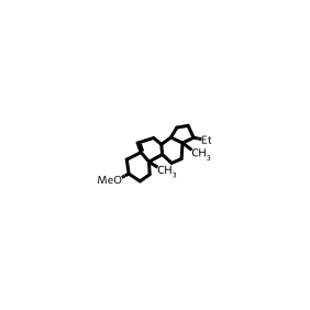 CCC1CCC2C3CC=C4CC(OC)CCC4(C)C3CCC12C